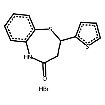 Br.O=C1CC(c2cccs2)Sc2ccccc2N1